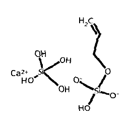 C=CCO[Si]([O-])([O-])O.O[Si](O)(O)O.[Ca+2]